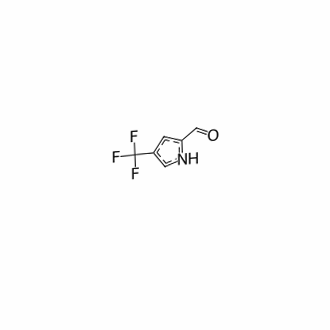 O=Cc1cc(C(F)(F)F)c[nH]1